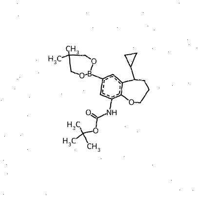 CC1(C)COB(c2cc(NC(=O)OC(C)(C)C)c3c(c2)C(C2CC2)CCCO3)OC1